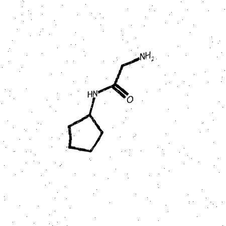 NCC(=O)NC1C[CH]CC1